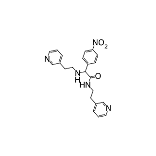 O=C(NCCc1cccnc1)C(NCCc1cccnc1)c1ccc([N+](=O)[O-])cc1